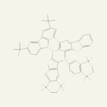 CC(C)(C)c1ccc2c(c1)c1cc(C(C)(C)C)cc3c1n2B1c2sc4cc5c(cc4c2N(c2ccc4c(c2)C(C)(C)CCC4(C)C)c2c1c-3cc1c2sc2ccccc21)C(C)(C)CCC5(C)C